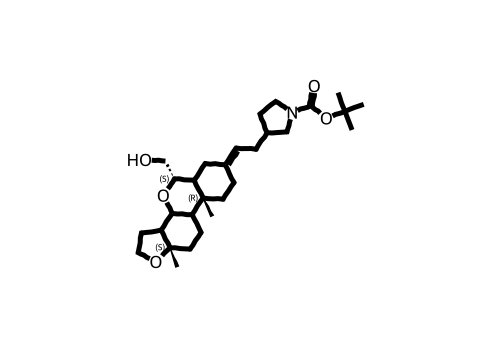 CC(C)(C)OC(=O)N1CCC(CC=C2CC[C@]3(C)C4CC[C@]5(C)OCCC5C4O[C@H](CO)C3C2)C1